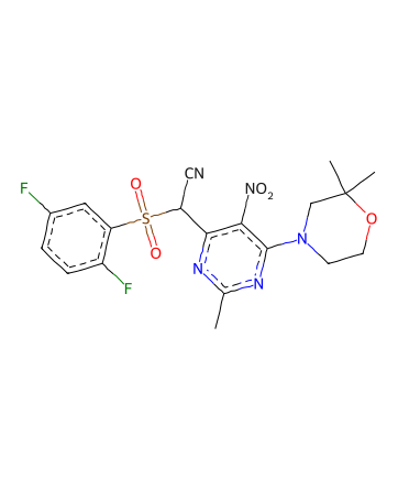 Cc1nc(C(C#N)S(=O)(=O)c2cc(F)ccc2F)c([N+](=O)[O-])c(N2CCOC(C)(C)C2)n1